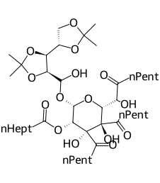 CCCCCCCC(=O)O[C@@H]1[C@H](OC(O)[C@H]2OC(C)(C)O[C@H]2[C@@H]2COC(C)(C)O2)O[C@H](C(O)C(=O)CCCCC)[C@](O)(C(=O)CCCCC)[C@@]1(O)C(=O)CCCCC